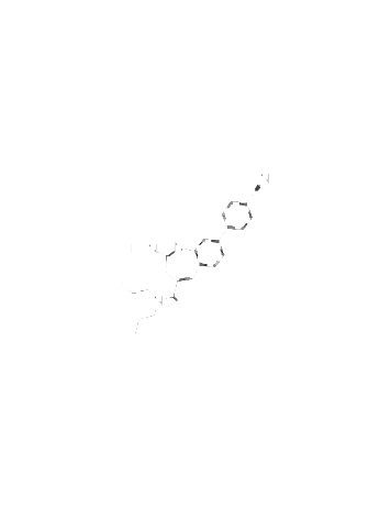 CCCN(CCC)C(=O)C1=Cc2ccc(-c3ccc(C#N)cc3)cc2N=C(N)C1